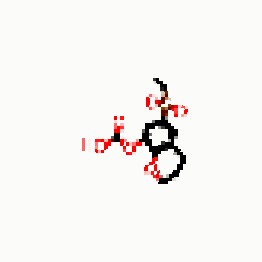 CCS(=O)(=O)c1cc2c(c(OC(=O)O)c1)OCCC2